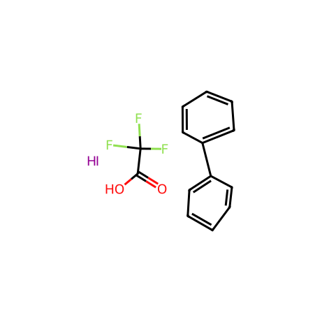 I.O=C(O)C(F)(F)F.c1ccc(-c2ccccc2)cc1